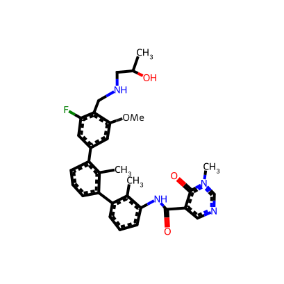 COc1cc(-c2cccc(-c3cccc(NC(=O)c4cncn(C)c4=O)c3C)c2C)cc(F)c1CNCC(C)O